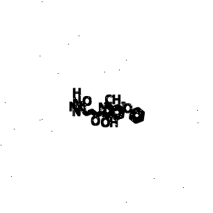 Cc1nc(C(=O)CCn2nn[nH]c2=O)c(O)c2ccc(Oc3ccccc3)cc12